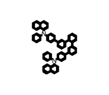 c1ccc2c(N(c3ccccc3)C3C=CC(c4cccc(-c5ccccc5-c5cccc(-c6ccc(N(c7ccccc7)c7cccc8ccccc78)cc6)c5)c4)=CC3)cccc2c#1